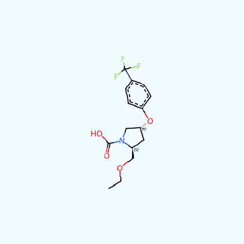 CCOC[C@@H]1C[C@@H](Oc2ccc(C(F)(F)F)cc2)CN1C(=O)O